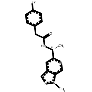 CC(C)c1ccc(CC(=O)N[C@H](C)c2cc3cnn(C)c3cn2)cc1